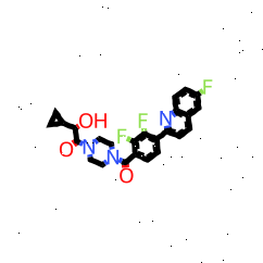 O=C(c1ccc(-c2ccc3cc(F)ccc3n2)c(F)c1F)N1CCN(C(=O)C(O)C2CC2)CC1